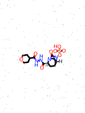 O=C(NNC(=O)[C@@H]1CC[C@@H]2CN1C(=O)N2OS(=O)(=O)O)C1CCOCC1